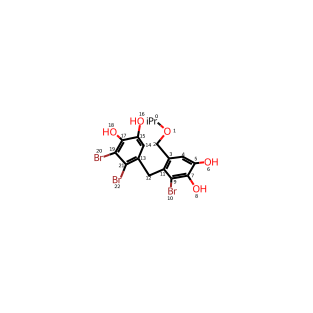 CC(C)OCc1cc(O)c(O)c(Br)c1Cc1cc(O)c(O)c(Br)c1Br